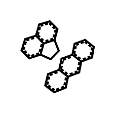 c1cc2c3c(cccc3c1)CC2.c1ccc2cc3ccccc3cc2c1